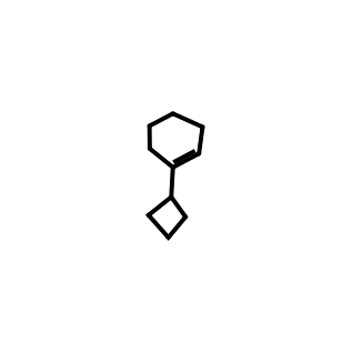 C1=C(C2CCC2)CCCC1